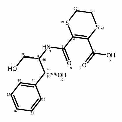 O=C(O)C1=C(C(=O)N[C@H](CO)[C@H](O)c2ccccc2)SCCS1